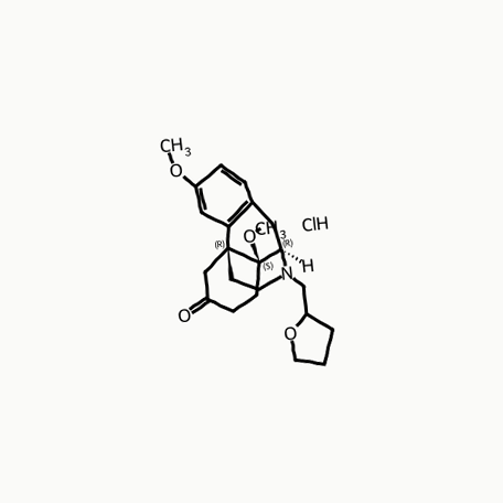 COc1ccc2c(c1)[C@]13CCN(CC4CCCO4)[C@H](C2)[C@]1(OC)CCC(=O)C3.Cl